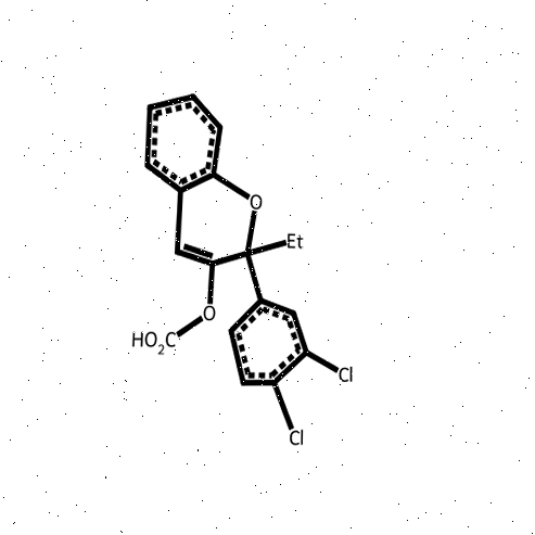 CCC1(c2ccc(Cl)c(Cl)c2)Oc2ccccc2C=C1OC(=O)O